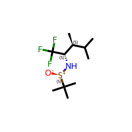 CC(C)[C@H](C)[C@H](N[S@+]([O-])C(C)(C)C)C(F)(F)F